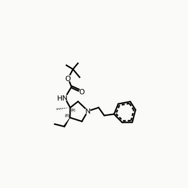 CC[C@@H]1CN(CCc2ccccc2)C[C@]1(C)NC(=O)OC(C)(C)C